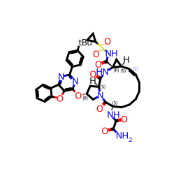 CC(C)(C)c1ccc(-c2nc(O[C@@H]3C[C@H]4C(=O)N[C@]5(C(=O)NS(=O)(=O)C6CC6)C[C@H]5/C=C\CCCCC[C@H](NC(=O)C(N)=O)C(=O)N4C3)c3oc4ccccc4c3n2)cc1